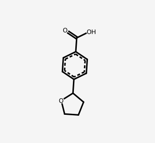 O=C(O)c1ccc(C2CCCO2)cc1